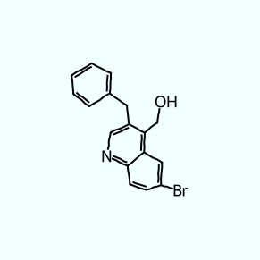 OCc1c(Cc2ccccc2)cnc2ccc(Br)cc12